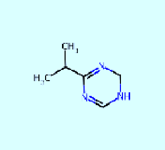 CC(C)C1=NCNC=N1